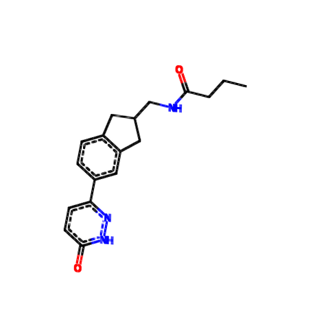 CCCC(=O)NCC1Cc2ccc(-c3ccc(=O)[nH]n3)cc2C1